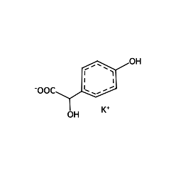 O=C([O-])C(O)c1ccc(O)cc1.[K+]